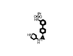 CC(C)S(=O)(=O)Nc1cccc(-c2ccc([C@H]3C[C@@H]3NC3CCNCC3)cc2)c1